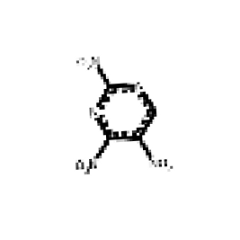 O=[N+]([O-])c1ncc([N+](=O)[O-])c([N+](=O)[O-])n1